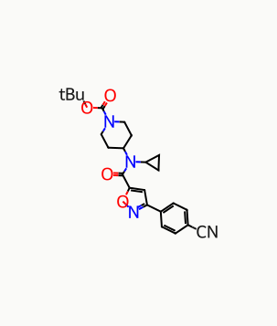 CC(C)(C)OC(=O)N1CCC(N(C(=O)c2cc(-c3ccc(C#N)cc3)no2)C2CC2)CC1